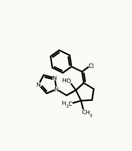 CC1(C)CCC(=C(Cl)c2ccccc2)C1(O)Cn1cncn1